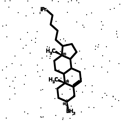 B[C@H]1CC[C@@]2(C)C(=CCC3C4CCC(CCCCC(C)C)[C@@]4(C)CCC32)C1